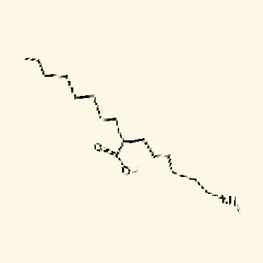 CCCCCCCCC(CCCCCCN)C(=O)O